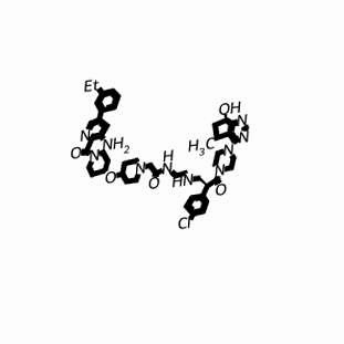 CCc1cccc(-c2cnc(C(=O)N3CCC(OC4CCN(CC(=O)NCCNC[C@@H](C(=O)N5CCN(c6ncnc7c6[C@H](C)C[C@H]7O)CC5)c5ccc(Cl)cc5)CC4)CC3)c(N)c2)c1